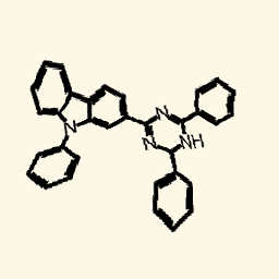 c1ccc(C2=NC(c3ccc4c5ccccc5n(-c5ccccc5)c4c3)=NC(c3ccccc3)N2)cc1